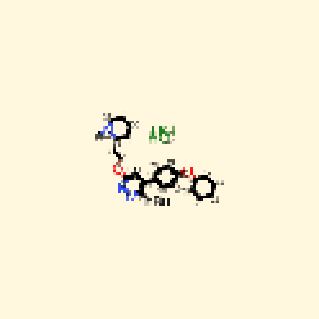 CCCCc1nnc(OCC[C@H]2CCCCN2C)cc1-c1ccc(OC2CCCCC2)cc1.Cl.Cl